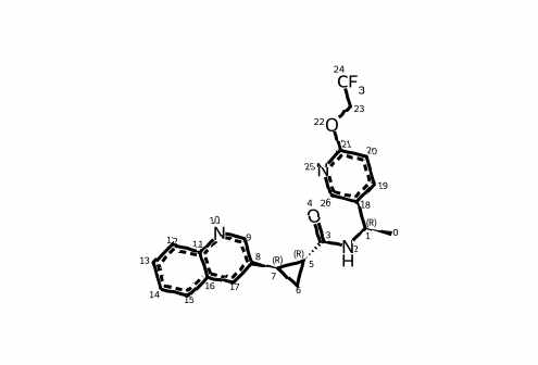 C[C@@H](NC(=O)[C@@H]1C[C@H]1c1cnc2ccccc2c1)c1ccc(OCC(F)(F)F)nc1